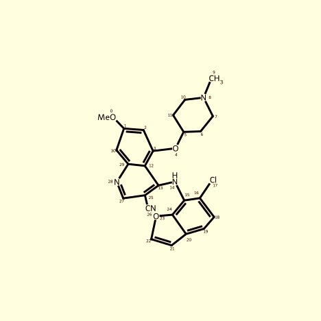 COc1cc(OC2CCN(C)CC2)c2c(Nc3c(Cl)ccc4ccoc34)c(C#N)cnc2c1